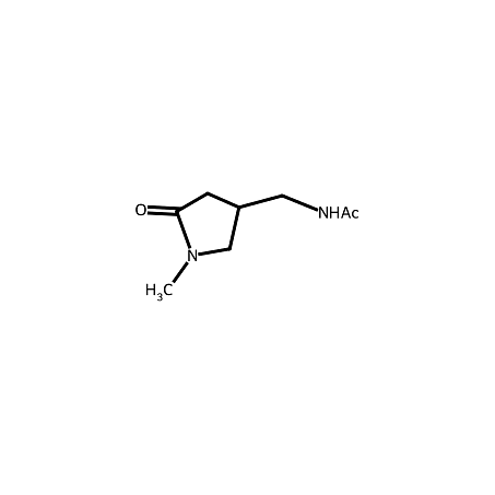 CC(=O)NCC1CC(=O)N(C)C1